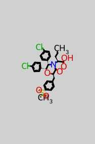 CCC[C@@H](C(=O)O)N1C(=O)[C@@H](Cc2ccc(S(C)(=O)=O)cc2)O[C@H](c2ccc(Cl)cc2)[C@@H]1c1ccc(Cl)cc1